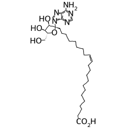 Nc1ncnc2c1ncn2[C@]1(CCCCCCCC/C=C\CCCCCCCCCCCC(=O)O)O[C@H](CO)[C@@H](O)[C@H]1O